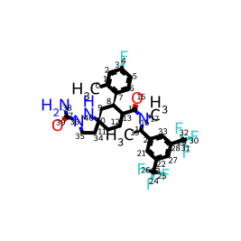 Cc1cc(F)ccc1[C@@H]1C[C@@]2(CCC1C(=O)N(C)[C@H](C)c1cc(C(F)(F)F)cc(C(F)(F)F)c1)CCN(C(N)=O)N2